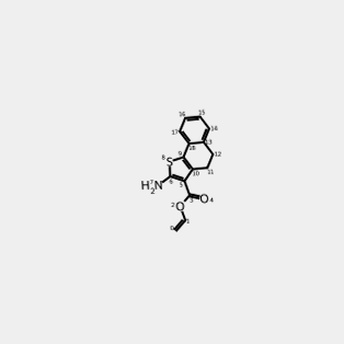 C=COC(=O)c1c(N)sc2c1CCc1ccccc1-2